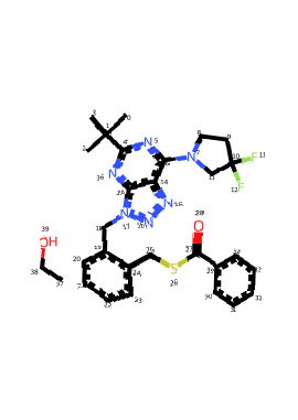 CC(C)(C)c1nc(N2CCC(F)(F)C2)c2nnn(Cc3ccccc3CSC(=O)c3ccccc3)c2n1.CCO